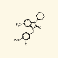 COc1ccc(Cn2c(=O)n(C3CCCCC3)c3ccc(C(F)(F)F)cc32)cc1Cl